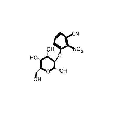 N#Cc1cccc(O[C@@H]2[C@@H](O)[C@@H](O)[C@@H](CO)O[C@H]2O)c1[N+](=O)[O-]